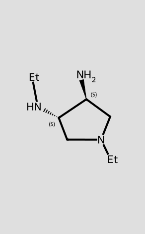 CCN[C@H]1CN(CC)C[C@@H]1N